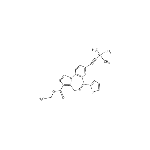 CCOC(=O)c1ncn2c1CN=C(c1cccs1)c1cc(C#C[Si](C)(C)C)ccc1-2